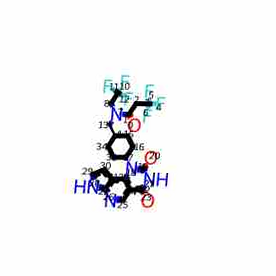 O=C(CC(F)(F)F)N(CC(F)(F)F)C[C@H]1CC[C@H](n2c(=O)[nH]c(=O)c3cnc4[nH]ccc4c32)CC1